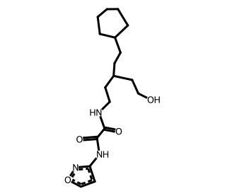 O=C(NCCC(CCO)CCC1CCCCC1)C(=O)Nc1ccon1